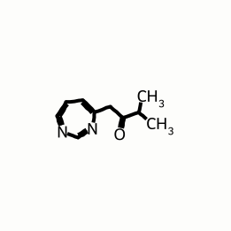 CC(C)C(=O)CC1=CC=C=NC=N1